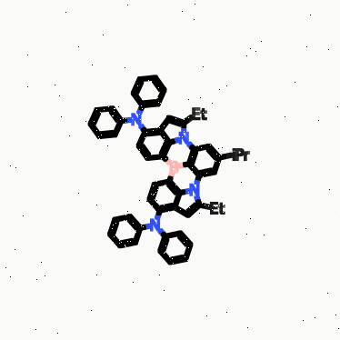 CCc1cc2c(N(c3ccccc3)c3ccccc3)ccc3c2n1-c1cc(C(C)C)cc2c1B3c1ccc(N(c3ccccc3)c3ccccc3)c3cc(CC)n-2c13